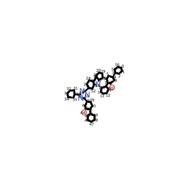 c1ccc(-c2ccc3c(c2)oc2cccc(-n4c5ccccc5c5ccc(-c6nc(-c7ccccc7)nc(-c7ccc8c(c7)oc7ccccc78)n6)cc54)c23)cc1